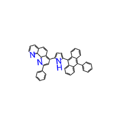 c1ccc(-c2cc(-c3ccc(-c4c5ccccc5c(-c5ccccc5)c5ccccc45)[nH]3)c3ccc4cccnc4c3n2)cc1